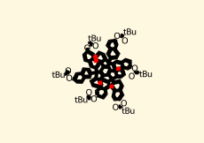 CC(C)(C)C(=O)Oc1ccc2cc(C3(c4ccc5cc(OC(=O)C(C)(C)C)ccc5c4)c4ccccc4-c4c3c3c(c5c4C(c4ccc6cc(OC(=O)C(C)(C)C)ccc6c4)(c4ccc6cc(OC(=O)C(C)(C)C)ccc6c4)c4ccccc4-5)C(c4ccc5cc(OC(=O)C(C)(C)C)ccc5c4)(c4ccc5cc(OC(=O)C(C)(C)C)ccc5c4)c4ccccc4-3)ccc2c1